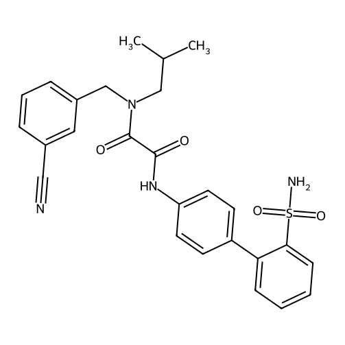 CC(C)CN(Cc1cccc(C#N)c1)C(=O)C(=O)Nc1ccc(-c2ccccc2S(N)(=O)=O)cc1